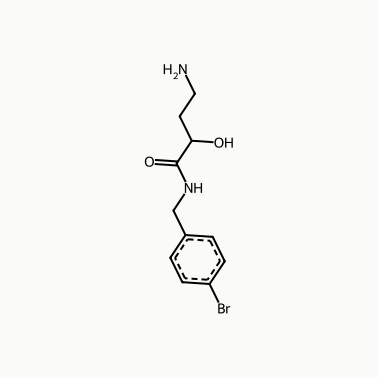 NCCC(O)C(=O)NCc1ccc(Br)cc1